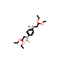 CCOC(C[SiH2]c1ccc([SiH2]CC(OCC)OCC)cc1)OCC